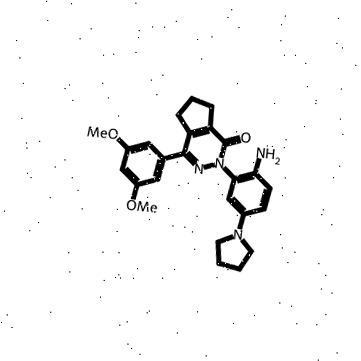 COc1cc(OC)cc(-c2nn(-c3cc(N4CCCC4)ccc3N)c(=O)c3c2CCC3)c1